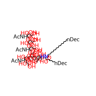 CCCCCCCCCCCCC/C=C/[C@@H](O)[C@H](CO[C@@H]1OC(CO)[C@@H](O[C@@H]2OC(CO)[C@H](O[C@@H]3OC(CO)[C@H](O)[C@H](O[C@@H]4OC(CO)[C@H](O)[C@H](O[C@@H]5OC(CO)[C@H](O)[C@H](O)C5NC(C)=O)C4O)C3NC(C)=O)[C@H](O[C@]3(C(=O)O)CC(O)[C@@H](NC(C)=O)C([C@H](O)[C@H](O)CO)O3)C2O)[C@H](O)C1O)NC(=O)CCCCCCCCCCCCCCCCCCCCCCCCC